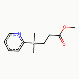 COC(=O)CC[Si](C)(C)c1ccccn1